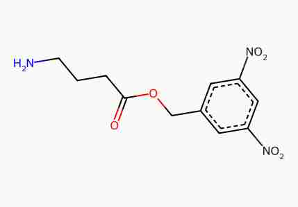 NCCCC(=O)OCc1cc([N+](=O)[O-])cc([N+](=O)[O-])c1